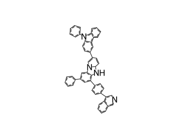 C1=CC2Nc3c(-c4ccc(-c5cncc6ccccc56)cc4)cc(-c4ccccc4)cc3N2C=C1c1ccc2c(c1)c1ccccc1n2-c1ccccc1